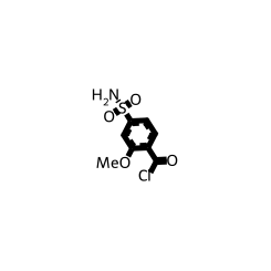 COc1cc(S(N)(=O)=O)ccc1C(=O)Cl